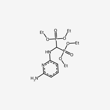 CCOP(=O)(OCC)C(Nc1cccc(N)n1)P(=O)(OCC)OCC